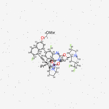 COCOc1cc(-c2ccc3c(N4CC5CCC(C4)N5C(=O)OC(C)(C)C)nc(OC[C@@]45C[C@@H](F)CN4C[C@@]4(CC4(F)F)C5)nc3c2F)c2c(C#C[Si](C(C)C)(C(C)C)C(C)C)c(F)ccc2c1